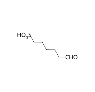 O=CCCCCCS(=O)(=O)O